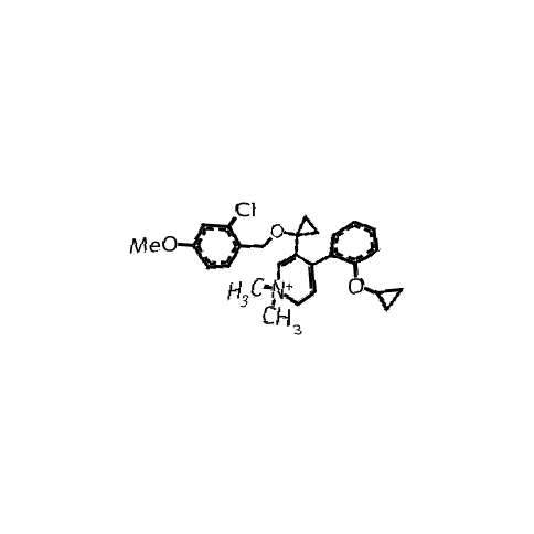 COc1ccc(COC2(C3=C[N+](C)(C)CC=C3c3ccccc3OC3CC3)CC2)c(Cl)c1